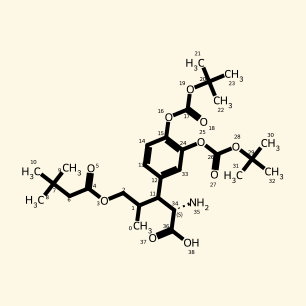 CC(COC(=O)CC(C)(C)C)C(c1ccc(OC(=O)OC(C)(C)C)c(OC(=O)OC(C)(C)C)c1)[C@H](N)C(=O)O